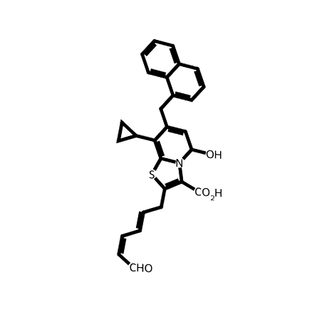 O=C/C=C\C=C\CC1=C(C(=O)O)N2C(=C(C3CC3)C(Cc3cccc4ccccc34)=CC2O)S1